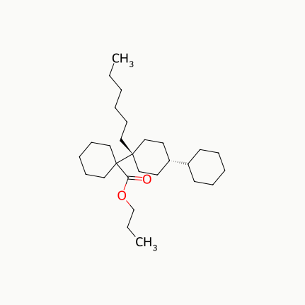 CCCCCC[C@]1(C2(C(=O)OCCC)CCCCC2)CC[C@@H](C2CCCCC2)CC1